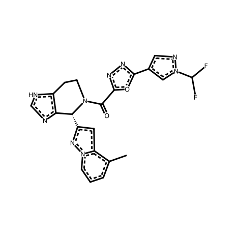 Cc1cccn2nc([C@@H]3c4nc[nH]c4CCN3C(=O)c3nnc(-c4cnn(C(F)F)c4)o3)cc12